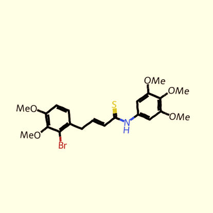 COc1cc(NC(=S)C=CCc2ccc(OC)c(OC)c2Br)cc(OC)c1OC